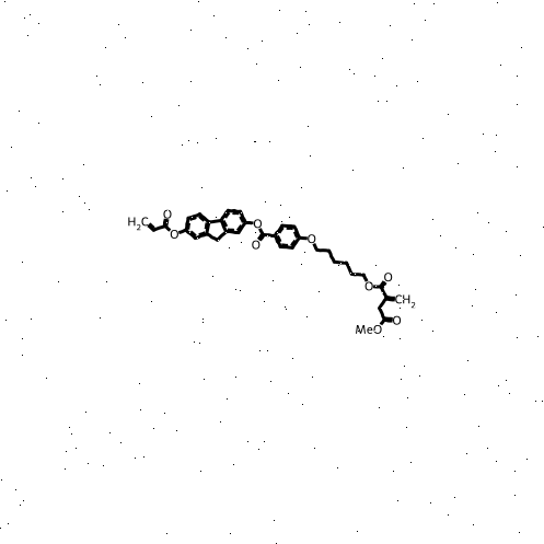 C=CC(=O)Oc1ccc2c(c1)Cc1cc(OC(=O)c3ccc(OCCCCCCOC(=O)C(=C)CC(=O)OC)cc3)ccc1-2